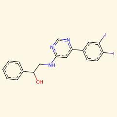 OC(CNc1cc(-c2ccc(I)c(I)c2)ncn1)c1ccccc1